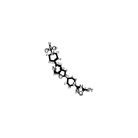 CC(C)c1nc(N2CCC([C@@H]3Cc4cc(C5=CCN(S(C)(=O)=O)CC5)ncc4O3)CC2)no1